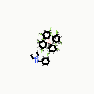 CC[NH+](CC)Cc1ccccc1.Fc1cc(F)c(F)c([B-](c2cc(F)cc(F)c2F)(c2cc(F)cc(F)c2F)c2cc(F)cc(F)c2F)c1